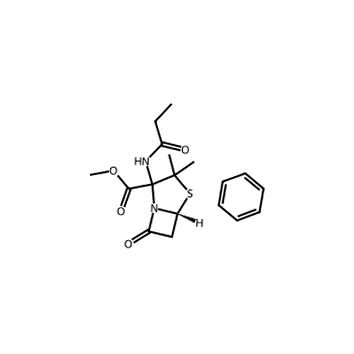 CCC(=O)NC1(C(=O)OC)N2C(=O)C[C@H]2SC1(C)C.c1ccccc1